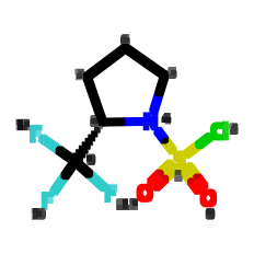 O=S(=O)(Cl)N1CCC[C@H]1C(F)(F)F